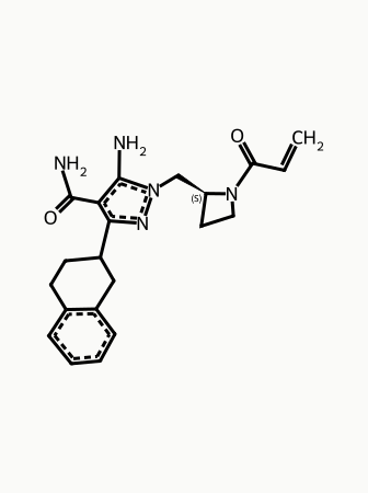 C=CC(=O)N1CC[C@H]1Cn1nc(C2CCc3ccccc3C2)c(C(N)=O)c1N